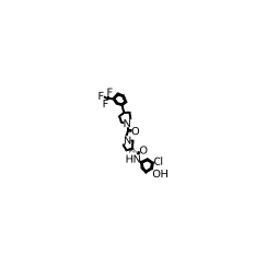 O=C(Nc1ccc(O)c(Cl)c1)[C@@H]1CCN(CC(=O)N2CCC(c3cccc(C(F)(F)F)c3)CC2)C1